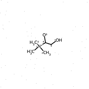 C[N+](C)(C)C([O-])CO